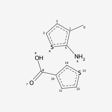 Cc1ccsc1N.O=C(O)c1ccsc1